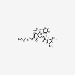 CN(C(=O)c1cc(C(F)(F)F)cc(C(F)(F)F)c1)C(C=CC(=O)NCCCCCO)C(c1ccccc1)c1ccccc1